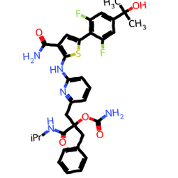 CC(C)NC(=O)C(Cc1ccccc1)(Cc1cccc(Nc2sc(-c3c(F)cc(C(C)(C)O)cc3F)cc2C(N)=O)n1)OC(N)=O